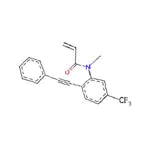 C=CC(=O)N(C)c1cc(C(F)(F)F)ccc1C#Cc1ccccc1